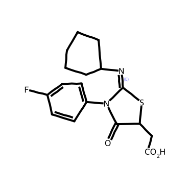 O=C(O)CC1S/C(=N/C2CCCCC2)N(c2ccc(F)cc2)C1=O